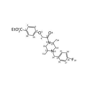 CCOC(=O)c1ccc(OCC(=O)N2CC(C)N(Cc3ccc(F)cc3)CC2C)cc1